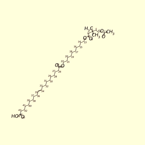 CC(=O)OCCC(C)(C)CC(=O)OCCCCCCCCCCOC(=O)CCCCCCCC/C=C/CCCCCCCCC(=O)O